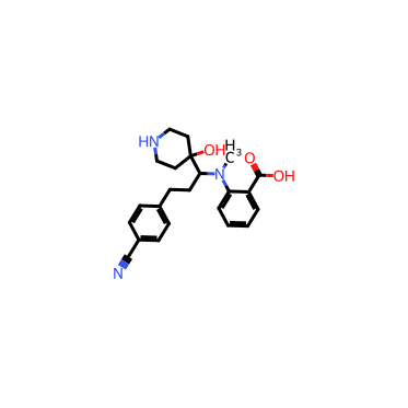 CN(c1ccccc1C(=O)O)C(CCc1ccc(C#N)cc1)C1(O)CCNCC1